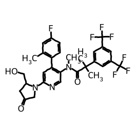 Cc1cc(F)ccc1-c1cc(N2CC(=O)CC2CO)ncc1N(C)C(=O)C(C)(C)c1cc(C(F)(F)F)cc(C(F)(F)F)c1